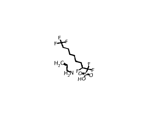 C=CCN.O=S(=O)(O)C(F)(F)C(F)CCCCCCC(F)(F)F